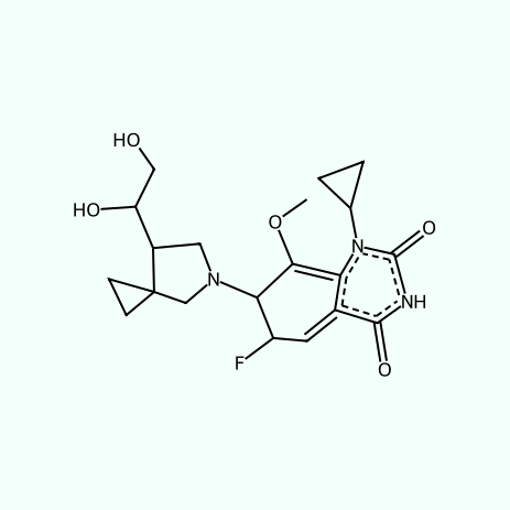 COC1=c2c(c(=O)[nH]c(=O)n2C2CC2)=CC(F)C1N1CC(C(O)CO)C2(CC2)C1